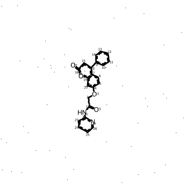 O=C(COc1ccc2c(-c3ccccc3)cc(=O)oc2c1)Nc1ccccn1